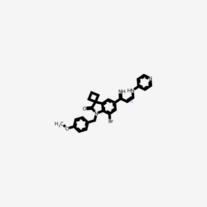 COc1ccc(CN2C(=O)C3(CCC3)c3cc(C(=N)/C=C\Nc4ccncc4)cc(Br)c32)cc1